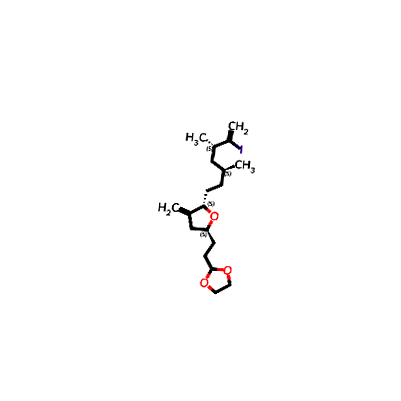 C=C1C[C@H](CCC2OCCO2)O[C@H]1CC[C@H](C)C[C@H](C)C(=C)I